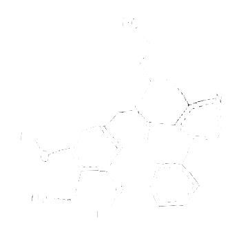 COc1cc(CN(CCCO)C(=O)c2c(-c3ccccc3)ccnc2Cl)cc(OC)c1OC